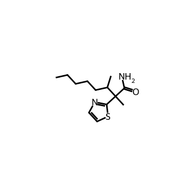 CCCCCC(C)C(C)(C(N)=O)c1nccs1